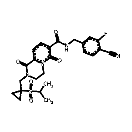 CC(C)S(=O)(=O)C1(CN2CCn3c(ccc(C(=O)NCc4ccc(C#N)c(F)c4)c3=O)C2=O)CC1